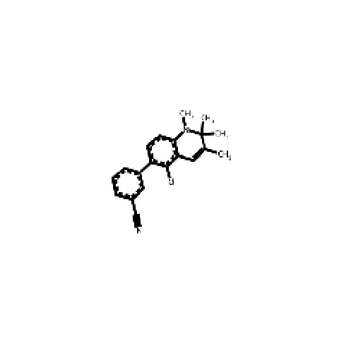 CC1=Cc2c(ccc(-c3cccc(C#N)c3)c2Cl)N(C)C1(C)C